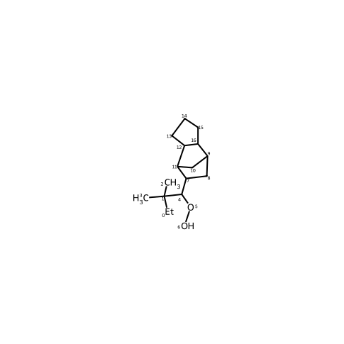 CCC(C)(C)C(OO)C1CC2CC1C1CCCC21